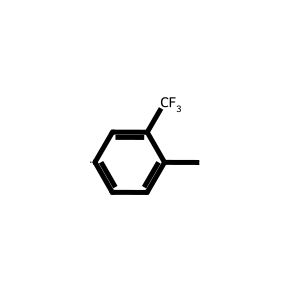 Cc1cc[c]cc1C(F)(F)F